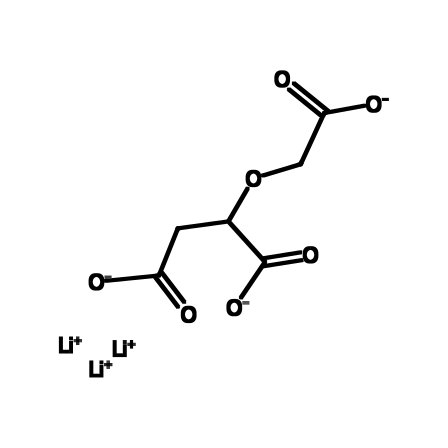 O=C([O-])COC(CC(=O)[O-])C(=O)[O-].[Li+].[Li+].[Li+]